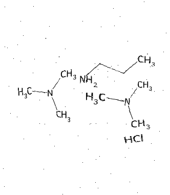 CCCN.CN(C)C.CN(C)C.Cl